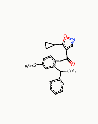 CSc1ccc(C(=O)c2cnoc2C2CC2)c(C(C)c2ccccc2)c1